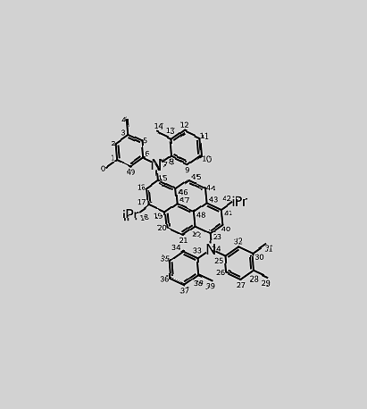 Cc1cc(C)cc(N(c2ccccc2C)c2cc(C(C)C)c3ccc4c(N(c5ccc(C)c(C)c5)c5ccccc5C)cc(C(C)C)c5ccc2c3c54)c1